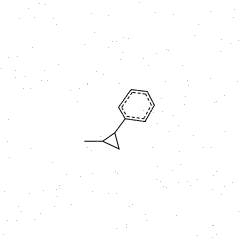 CC1CC1c1ccccc1